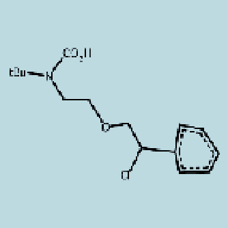 CC(C)(C)N(CCOCC(Cl)c1ccccc1)C(=O)O